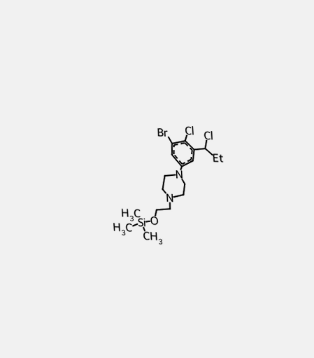 CCC(Cl)c1cc(N2CCN(CCO[Si](C)(C)C)CC2)cc(Br)c1Cl